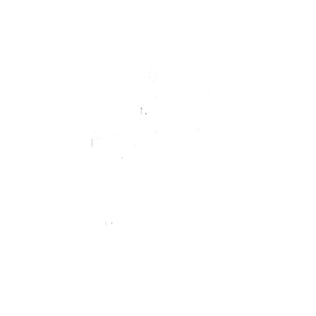 C[C@@H]1CCCCC1C(=O)N1CC[C@](O)(c2ccc(O)cc2)C(C)(C)C1